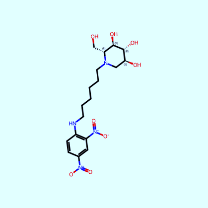 O=[N+]([O-])c1ccc(NCCCCCCN2C[C@H](O)[C@@H](O)[C@H](O)[C@H]2CO)c([N+](=O)[O-])c1